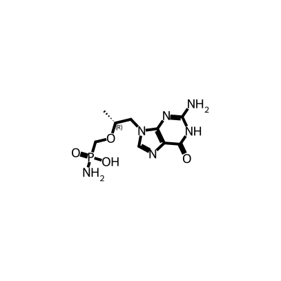 C[C@H](Cn1cnc2c(=O)[nH]c(N)nc21)OCP(N)(=O)O